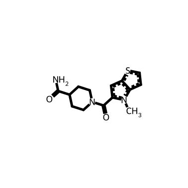 Cn1c(C(=O)N2CCC(C(N)=O)CC2)cc2sccc21